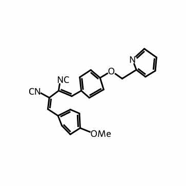 [C-]#[N+]C(=Cc1ccc(OC)cc1)C(=Cc1ccc(OCc2ccccn2)cc1)[N+]#[C-]